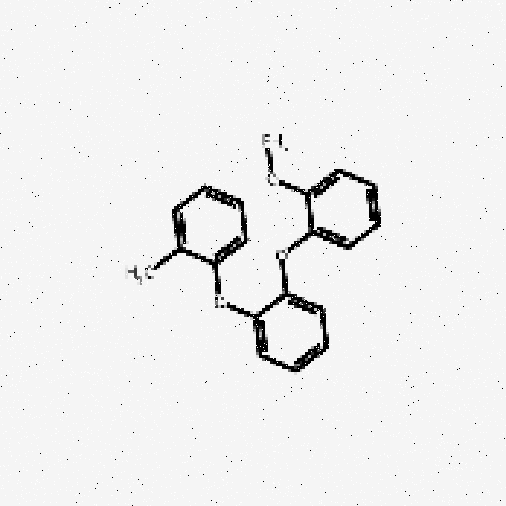 Cc1ccccc1Oc1ccccc1Oc1ccccc1OP